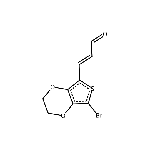 O=C/C=C/c1sc(Br)c2c1OCCO2